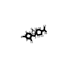 COC1(Cc2ccc(C)cc2C)CCC(C(C)C)CC1